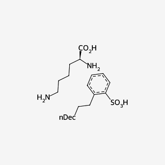 CCCCCCCCCCCCc1ccccc1S(=O)(=O)O.NCCCC[C@H](N)C(=O)O